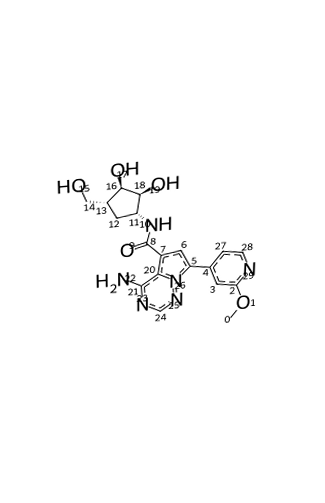 COc1cc(-c2cc(C(=O)N[C@@H]3C[C@H](CO)[C@@H](O)[C@H]3O)c3c(N)ncnn23)ccn1